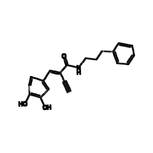 C#C/C(=C\c1ccc(O)c(O)c1)C(=O)NCCCc1ccccc1